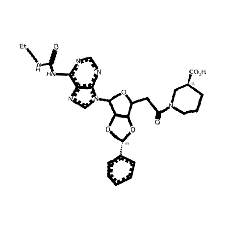 CCNC(=O)Nc1ncnc2c1ncn2C1OC(CC(=O)N2CCC[C@H](C(=O)O)C2)C2O[C@H](c3ccccc3)OC21